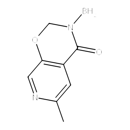 BN1COc2cnc(C)cc2C1=O